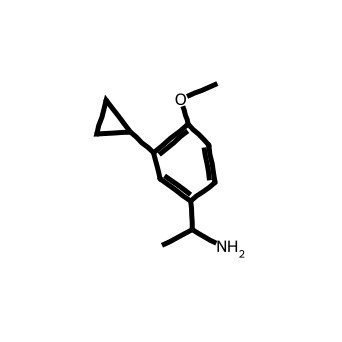 COc1ccc(C(C)N)cc1C1CC1